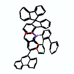 c1ccc(-c2ccccc2-c2c(-c3ccccc3)cccc2N(c2ccc(-c3cc4ccccc4c4ccccc34)cc2)c2cccc3c2-c2ccccc2C32c3ccccc3-c3ccccc32)cc1